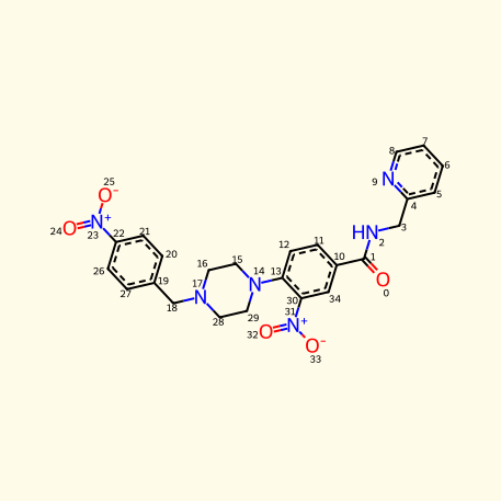 O=C(NCc1ccccn1)c1ccc(N2CCN(Cc3ccc([N+](=O)[O-])cc3)CC2)c([N+](=O)[O-])c1